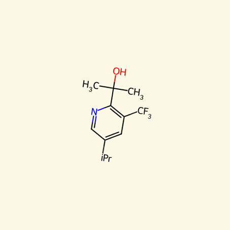 CC(C)c1cnc(C(C)(C)O)c(C(F)(F)F)c1